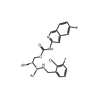 [CH2]CC[C@@H](COC(=O)Nc1cc2cc(F)ccc2cn1)N(NCc1cccc(F)c1Cl)C(C)=O